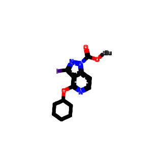 CC(C)(C)OC(=O)n1nc(I)c2c(OC3CCCCC3)nccc21